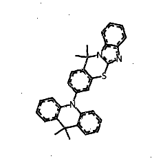 CC1(C)c2ccccc2N(c2ccc3c(c2)Sc2nc4ccccc4n2C3(C)C)c2ccccc21